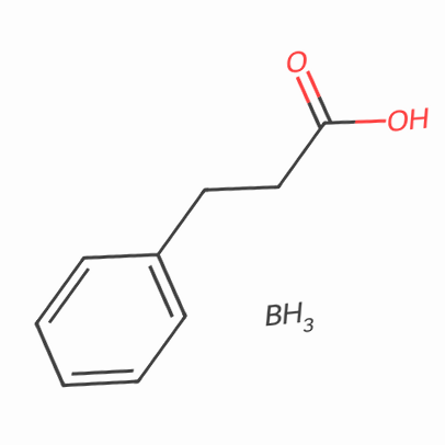 B.O=C(O)CCc1ccccc1